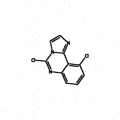 Clc1cccc2nc(Cl)n3ccnc3c12